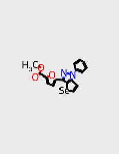 COC(=O)c1ccc(-c2nn(-c3ccccc3)c3cc[se]c23)o1